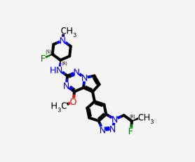 COc1nc(N[C@@H]2CCN(C)C[C@@H]2F)nn2ccc(-c3ccc4nnn(C[C@@H](C)F)c4c3)c12